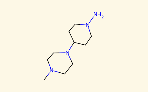 CN1CCN(C2CCN(N)CC2)CC1